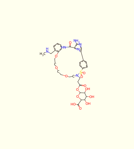 CNCc1cccc2c1OCCOCCOCCN(CCC(=O)OC1OC(C(=O)O)C(O)C(O)C1O)S(=O)(=O)c1ccc(cc1)-c1cnc(N)c(n1)C(=O)N2